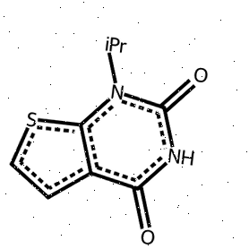 CC(C)n1c(=O)[nH]c(=O)c2ccsc21